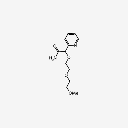 COCCOCCOC(C(N)=O)c1ccccn1